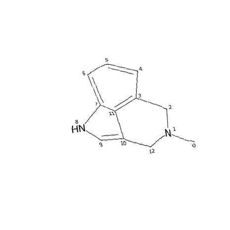 CN1Cc2cccc3[nH]cc(c23)C1